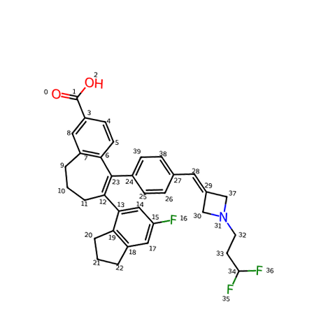 O=C(O)c1ccc2c(c1)CCCC(c1cc(F)cc3c1CCC3)=C2c1ccc(C=C2CN(CCC(F)F)C2)cc1